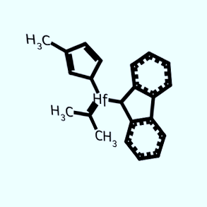 CC1=C[CH]([Hf](=[C](C)C)[CH]2c3ccccc3-c3ccccc32)C=C1